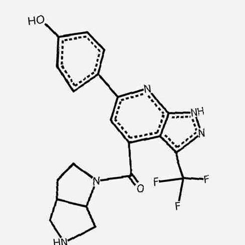 O=C(c1cc(-c2ccc(O)cc2)nc2[nH]nc(C(F)(F)F)c12)N1CCC2CNCC21